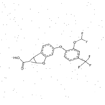 O=C(O)C1C2Oc3cc(Oc4ccc(C(F)(F)F)cc4OC(F)F)ccc3C21